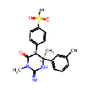 CC(C)S(=O)(=O)c1ccc([C@@H]2C(=O)N(C)C(=N)N[C@]2(C)c2cccc(C#N)c2)cc1